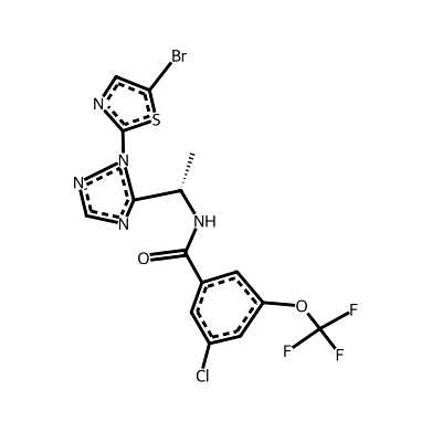 C[C@H](NC(=O)c1cc(Cl)cc(OC(F)(F)F)c1)c1ncnn1-c1ncc(Br)s1